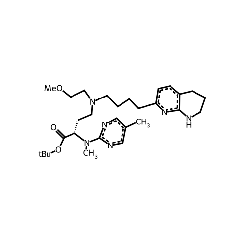 COCCN(CCCCc1ccc2c(n1)NCCC2)CC[C@@H](C(=O)OC(C)(C)C)N(C)c1ncc(C)cn1